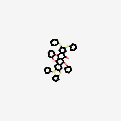 O=C1c2cc(Sc3ccccc3)c(Sc3ccccc3)cc2C(=O)c2c1c(Oc1ccccc1)c1cc(Sc3ccccc3)c(Sc3ccccc3)cc1c2Oc1ccccc1